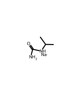 CC(C)NC(N)=O.[Na]